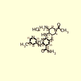 CC(=O)N1CCC(Nc2nc(Nc3cncc(C)c3)c(C(N)=O)cc2F)C(N)C1.Cl